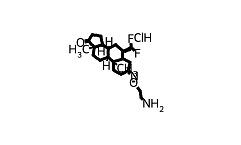 C[C@]12CCC(=NOCCN)CC1C(=C(F)F)C[C@@H]1[C@H]2CC[C@]2(C)C(=O)CC[C@@H]12.Cl